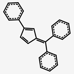 C1=CC(=C(c2ccccc2)c2ccccc2)C=C1c1ccccc1